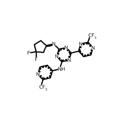 FC1(F)CC/C(=N/c2nc(Nc3ccnc(C(F)(F)F)c3)nc(-c3ccnc(C(F)(F)F)n3)n2)C1